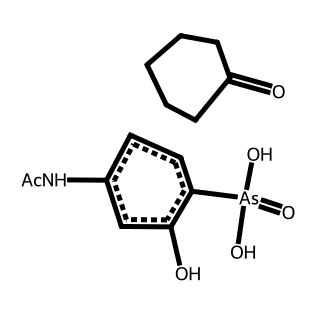 CC(=O)Nc1ccc([As](=O)(O)O)c(O)c1.O=C1CCCCC1